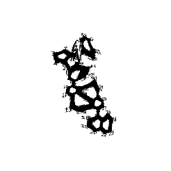 CC12CCCC1c1cc(-c3ccc4ccc5c(-c6cccc7ccccc67)ccc6ccc3c4c65)ccc1N2c1ccccc1